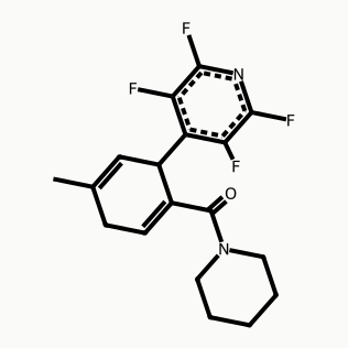 CC1=CC(c2c(F)c(F)nc(F)c2F)C(C(=O)N2CCCCC2)=CC1